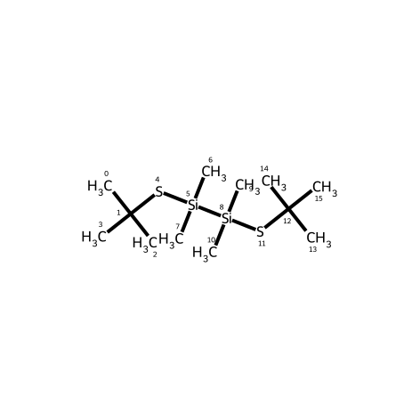 CC(C)(C)S[Si](C)(C)[Si](C)(C)SC(C)(C)C